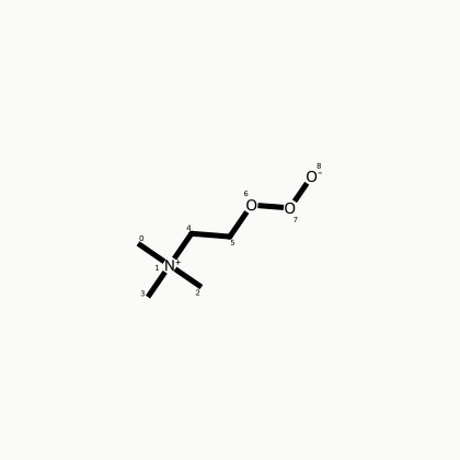 C[N+](C)(C)CCOO[O-]